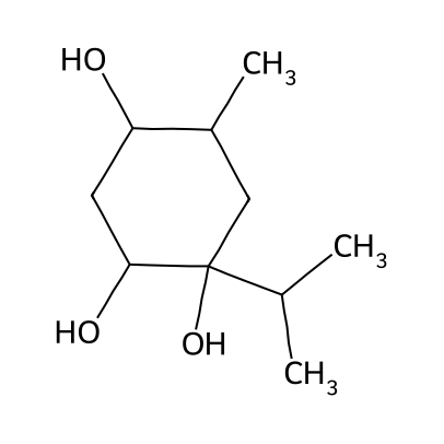 CC1CC(O)(C(C)C)C(O)CC1O